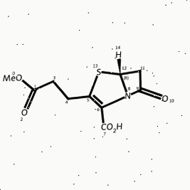 COC(=O)CCC1=C(C(=O)O)N2C(=O)C[C@H]2S1